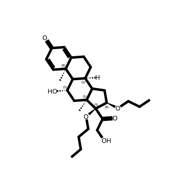 CCCCO[C@]1(C(=O)CO)[C@H](OCCC)CC2[C@@H]3CCC4=CC(=O)C=C[C@]4(C)C3[C@@H](O)C[C@@]21C